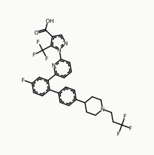 O=C(O)c1cnn(-c2cccc(-c3cc(F)ccc3-c3ccc(C4CCN(CCC(F)(F)F)CC4)cc3)n2)c1C(F)(F)F